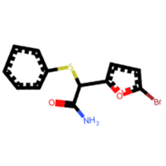 NC(=O)C(Sc1ccccc1)c1ccc(Br)o1